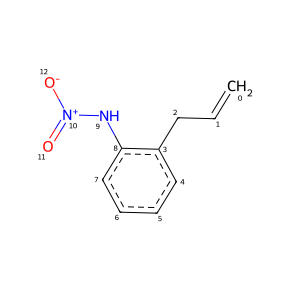 C=CCc1ccccc1N[N+](=O)[O-]